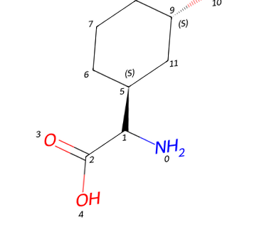 NC(C(=O)O)[C@H]1CCC[C@H](O)C1